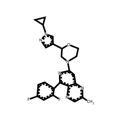 Cc1cnc2c(-c3ccc(F)cc3F)nc(N3CCOC(c4cnn(C5CC5)c4)C3)cc2n1